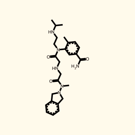 Cc1ccc(C(N)=O)cc1N(CCNC(C)C)C(=O)CNCC(=O)N(C)N1Cc2ccccc2C1